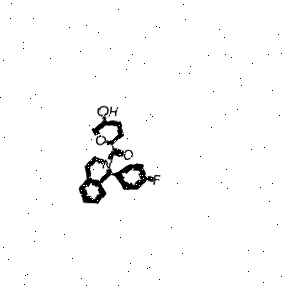 O=C([C@H]1CC[C@H](O)CO1)N1CCc2ccccc2[C@@H]1c1ccc(F)cc1